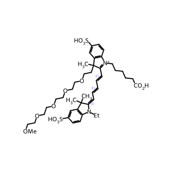 CCN1/C(=C/C=C/C=C/C2=[N+](CCCCCC(=O)O)c3ccc(S(=O)(=O)O)cc3C2(C)CCOCCOCCOCCOCCOC)C(C)(C)c2cc(S(=O)(=O)O)ccc21